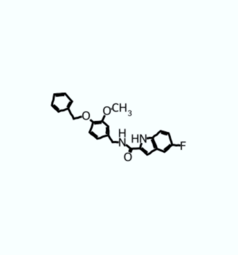 COc1cc(CNC(=O)c2cc3cc(F)ccc3[nH]2)ccc1OCc1ccccc1